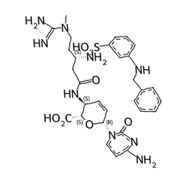 CN(CC[C@H](N)CC(=O)N[C@H]1C=C[C@H](n2ccc(N)nc2=O)O[C@@H]1C(=O)O)C(=N)N.O=S(=O)(O)c1cccc(NCc2ccccc2)c1